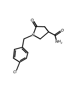 NC(=O)C1CC(=O)N(Cc2ccc(Cl)cc2)C1